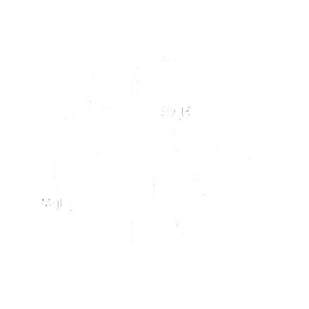 C=Cc1ccc2cc3ccccc3cc2c1S(=O)(=O)O.C=Cc1cccc2cc3ccccc3cc12.[MgH2]